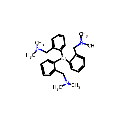 CN(C)Cc1cccc[c]1[Cr]([c]1ccccc1CN(C)C)[c]1ccccc1CN(C)C